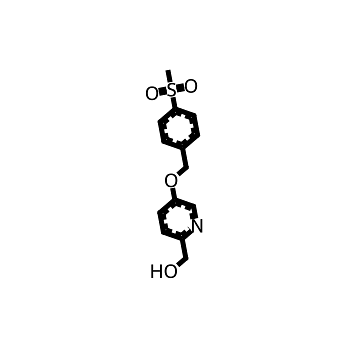 CS(=O)(=O)c1ccc(COc2ccc(CO)nc2)cc1